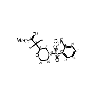 COC(=O)C(C)(C)C1CN(S(=O)(=O)c2ccccc2[N+](=O)[O-])CCO1